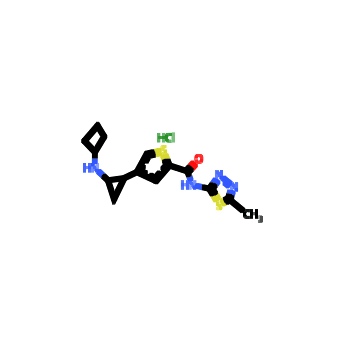 Cc1nnc(NC(=O)c2cc(C3CC3NC3CCC3)cs2)s1.Cl